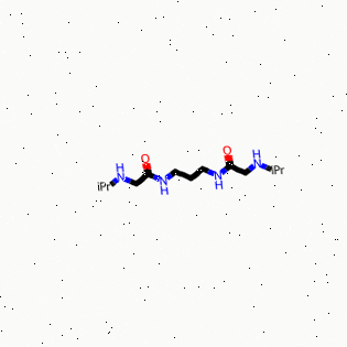 CC(C)NCC(=O)NCCCNC(=O)CNC(C)C